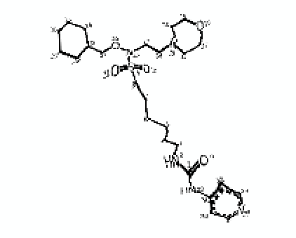 O=C(NCCCCCCS(=O)(=O)N(CCN1CCOCC1)OCC1CCCCC1)Nc1ccncc1